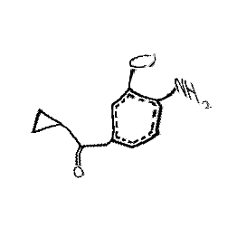 Nc1ccc(C(=O)C2CC2)cc1Cl